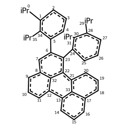 CC(C)c1cccc(-c2cc3cccc4c5cccc6cccc(c(c2-c2cccc(C(C)C)c2C(C)C)c34)c65)c1C(C)C